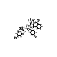 CC(c1nc2ccccc2c(=O)n1C)N(CCNS(=O)(=O)c1ccc(Br)cc1)S(=O)(=O)c1ccc(Br)cc1